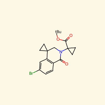 CC(C)(C)OC(=O)C1(N2CC3(CC3)c3cc(Br)ccc3C2=O)CC1